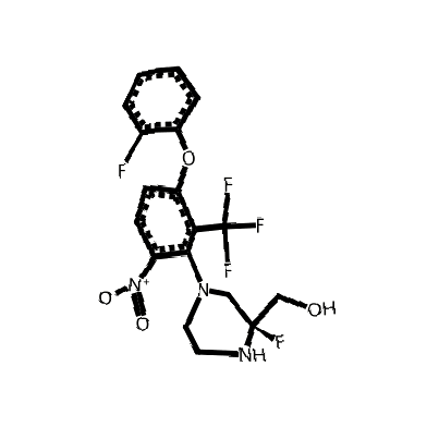 O=[N+]([O-])c1ccc(Oc2ccccc2F)c(C(F)(F)F)c1N1CCN[C@@](F)(CO)C1